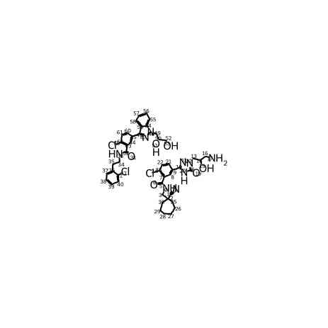 N#CC1(CNC(=O)c2cc(-c3nn(CC(O)CN)c(=O)[nH]3)ccc2Cl)CCCCCC1.O=C(NCCc1ccccc1Cl)c1cc(-c2nn(CC(O)CO)c3ccccc23)ccc1Cl